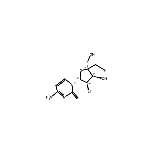 C=C1N=C(N)C=CN1[C@@H]1O[C@@](CO)(CF)[C@@H](O)[C@H]1Cl